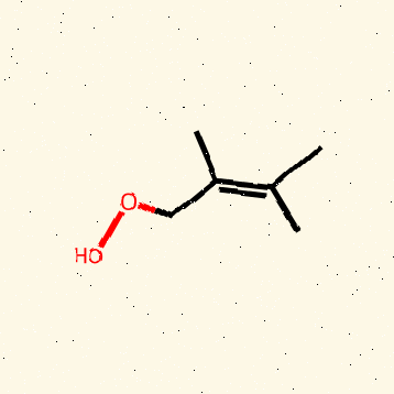 CC(C)=C(C)COO